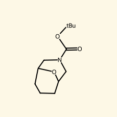 CC(C)(C)OC(=O)N1CC2CCCC(C1)O2